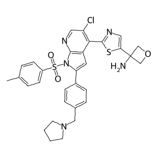 Cc1ccc(S(=O)(=O)n2c(-c3ccc(CN4CCCC4)cc3)cc3c(-c4ncc(C5(N)COC5)s4)c(Cl)cnc32)cc1